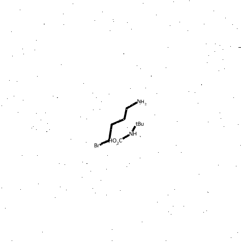 CC(C)(C)NC(=O)O.NCCCCBr